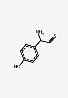 NC(C=S)c1ccc(O)cc1